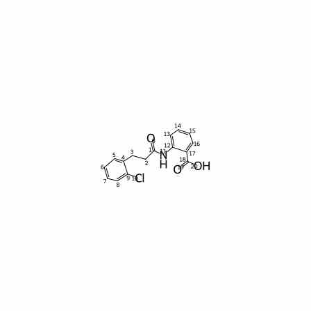 O=C(CCc1ccccc1Cl)Nc1ccccc1C(=O)O